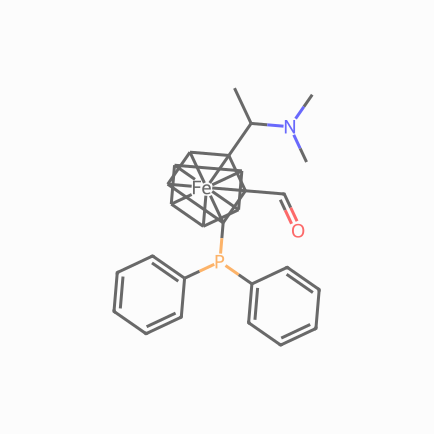 CC(N(C)C)[C]12[CH]3[CH]4[C]5(P(c6ccccc6)c6ccccc6)[C]1(C=O)[Fe]34251678[CH]2[CH]1[CH]6[CH]7[CH]28